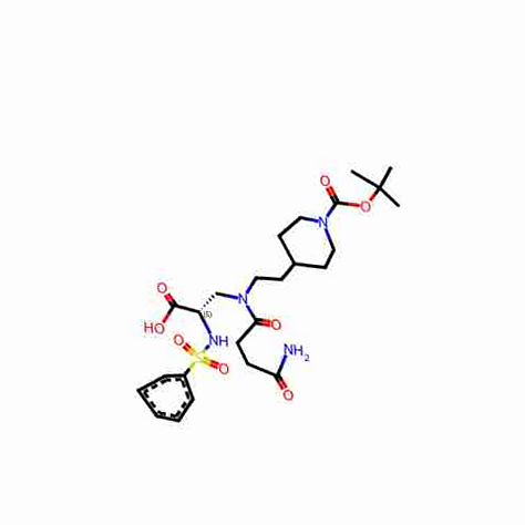 CC(C)(C)OC(=O)N1CCC(CCN(C[C@H](NS(=O)(=O)c2ccccc2)C(=O)O)C(=O)CCC(N)=O)CC1